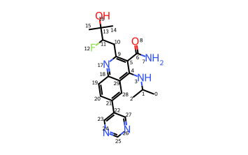 CC(C)Nc1c(C(N)=O)c(CC(F)C(C)(C)O)nc2ccc(-c3cncnc3)cc12